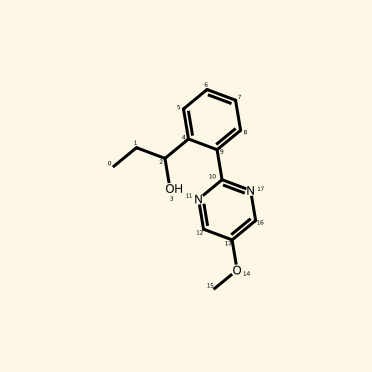 CCC(O)c1ccccc1-c1ncc(OC)cn1